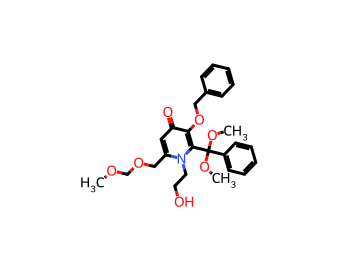 COCOCc1cc(=O)c(OCc2ccccc2)c(C(OC)(OC)c2ccccc2)n1CCO